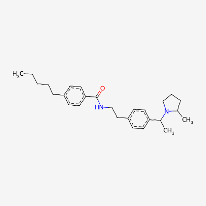 CCCCCc1ccc(C(=O)NCCc2ccc(C(C)N3CCCC3C)cc2)cc1